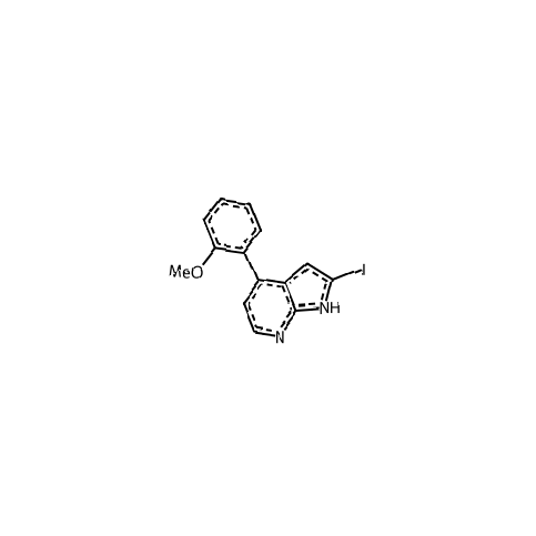 COc1ccccc1-c1ccnc2[nH]c(I)cc12